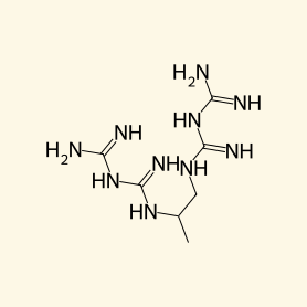 CC(CNC(=N)NC(=N)N)NC(=N)NC(=N)N